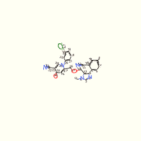 Cn1cnc(-c2ccccc2C#N)c1COCc1cc(=O)c(C#N)cn1-c1cccc(Cl)c1